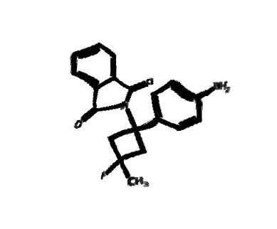 Bc1ccc(C2(N3C(=O)c4ccccc4C3=O)CC(C)(F)C2)cc1